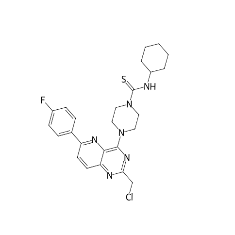 Fc1ccc(-c2ccc3nc(CCl)nc(N4CCN(C(=S)NC5CCCCC5)CC4)c3n2)cc1